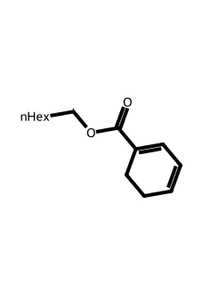 CCCCCC[CH]OC(=O)C1=CC=CCC1